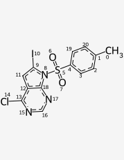 Cc1ccc(S(=O)(=O)n2c(I)cc3c(Cl)ncnc32)cc1